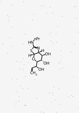 C=C[C@H](O)[C@H]1O[C@@H]2SC(NCCC)=N[C@@H]2[C@@H](O)[C@@H]1O